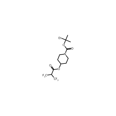 CCC(C)(C)OC(=O)N1CCC(OC(=O)C(C(F)(F)F)C(F)(F)F)CC1